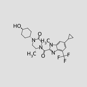 C[C@@H]1CN([C@H]2CC[C@H](O)CC2)C(=O)CN1C(=O)c1nc2c(C(F)(F)F)cc(C3CC3)cc2n1C